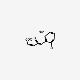 O=C([O-])/C=C\C(=O)Nc1ccccc1O.[Na+]